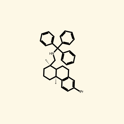 CC(C)c1ccc2c(c1)CCC1[C@](C)(CNC(c3ccccc3)(c3ccccc3)c3ccccc3)CCC[C@]21C